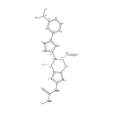 CNC(=O)Nc1nc2c(s1)[C@H](C)N(c1nnc(-c3cccc(C(C)C)c3)o1)[C@H](C=O)C2